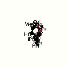 CCn1c(-c2cccnc2[C@H](C)OC)c2c3cc(ccc31)-c1cc(O)cc(c1)C[C@H](NC(=O)C(C(C)C)N(C)C(=O)[C@]1(F)CCN(C(=O)[C@@H]3CN3)C1)C(=O)N1CCC[C@H](N1)C(=O)OCC(C)(C)C2